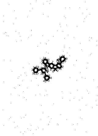 CC1(C)c2cc3c(cc2-c2c1ccc1c2sc2ccccc21)c1ccccc1n3-c1cc(-c2ccccc2)cc(-c2ccccc2)n1